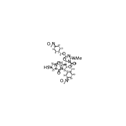 CNC(=NC(=O)OCc1ccc([N+](=O)[O-])cc1)N(C[C@@H]1CCN(C(=O)[C@@H]2C[C@H](S)CN2C)C1)C(=O)OCc1ccc([N+](=O)[O-])cc1